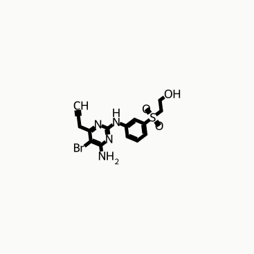 C#CCc1nc(Nc2cccc(S(=O)(=O)CCO)c2)nc(N)c1Br